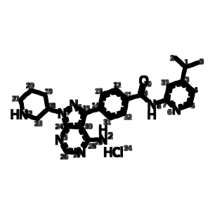 CC(C)c1ccnc(NC(=O)c2ccc(-c3nn(C4CCCNC4)c4ncnc(N)c34)cc2)c1.Cl